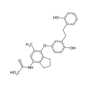 Cc1cc(NC(=O)C(=O)O)c2c(c1Oc1ccc(O)c(CCc3ccccc3O)c1)CCC2